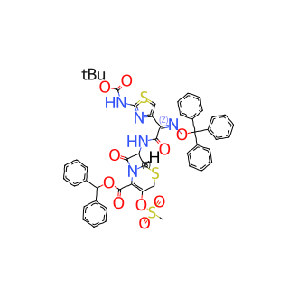 CC(C)(C)OC(=O)Nc1nc(/C(=N/OC(c2ccccc2)(c2ccccc2)c2ccccc2)C(=O)NC2C(=O)N3C(C(=O)OC(c4ccccc4)c4ccccc4)=C(OS(C)(=O)=O)CS[C@@H]23)cs1